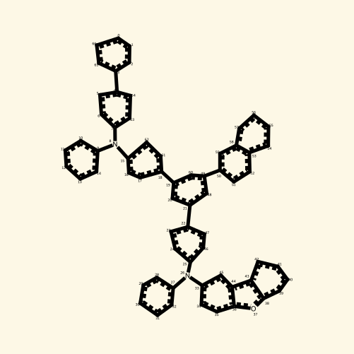 c1ccc(-c2ccc(N(c3ccccc3)c3ccc(-c4cc(-c5ccc(N(c6ccccc6)c6ccc7oc8ccccc8c7c6)cc5)cc(-c5ccc6ccccc6c5)c4)cc3)cc2)cc1